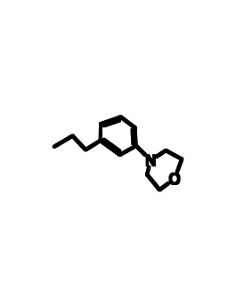 CCCc1cccc(N2CCOCC2)c1